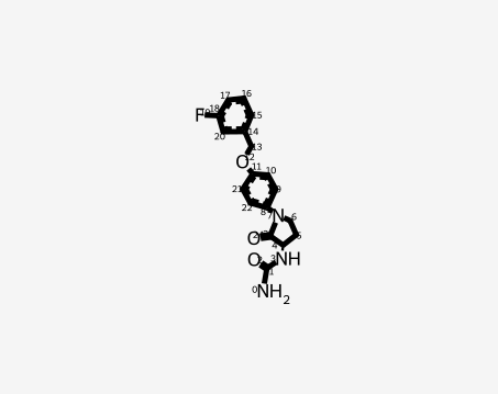 NC(=O)N[C@H]1CCN(c2ccc(OCc3cccc(F)c3)cc2)C1=O